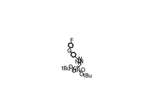 CC(C)(C)OC(=O)C[C@H](Cn1nnc(-c2ccc(Oc3ccc(F)cc3)cc2)n1)NC(=O)OC(C)(C)C